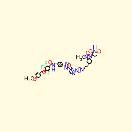 COc1ccc(COc2c(F)cc(C(=O)NC[C@]34CC[C@](c5noc(-c6ccnc(N7CCN(CCCc8ccc9c(c8)n(C)c(=O)n9C8CCC(=O)NC8=O)CC7)n6)n5)(CC3)CC4)c(F)c2F)cc1